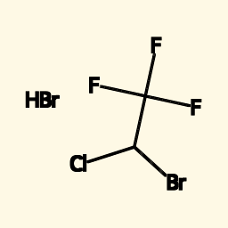 Br.FC(F)(F)C(Cl)Br